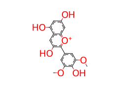 COc1cc(-c2[o+]c3cc(O)cc(O)c3cc2O)cc(OC)c1O